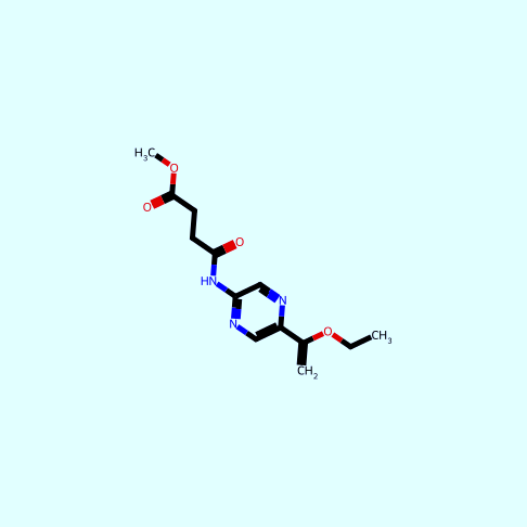 C=C(OCC)c1cnc(NC(=O)CCC(=O)OC)cn1